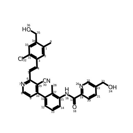 Cc1cc(/C=C/c2nccc(-c3cccc(NC(=O)c4ccc(CO)cn4)c3C)c2C#N)c(Cl)cc1CO